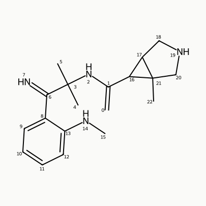 C=C(NC(C)(C)C(=N)c1ccccc1NC)C1C2CNCC21C